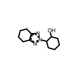 OC1CCCCC1n1nc2c(n1)CCCC2